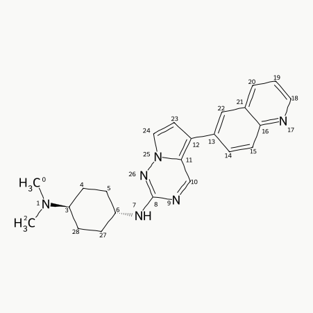 CN(C)[C@H]1CC[C@H](Nc2ncc3c(-c4ccc5ncccc5c4)ccn3n2)CC1